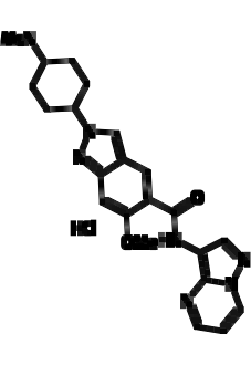 CNC1CCC(n2cc3cc(C(=O)Nc4cnn5cccnc45)c(OC)cc3n2)CC1.Cl